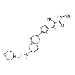 CCCCNC(=O)/C(C#N)=C(\C)c1ccc(-c2ccc3cc(NCCN4CCOCC4)ccc3c2)s1